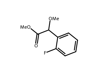 COC(=O)C(OC)c1ccccc1F